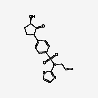 C=CCN(c1nccs1)S(=O)(=O)c1ccc(C2CC[C@@H](O)C2=O)cc1